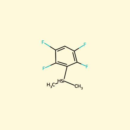 C[SiH](C)c1c(F)c(F)cc(F)c1F